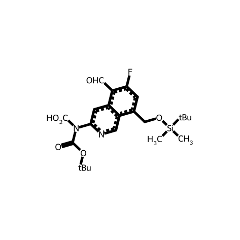 CC(C)(C)OC(=O)N(C(=O)O)c1cc2c(C=O)c(F)cc(CO[Si](C)(C)C(C)(C)C)c2cn1